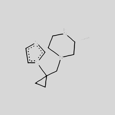 C[C@@H]1CN(CC2(n3ccnc3)CC2)CCN1